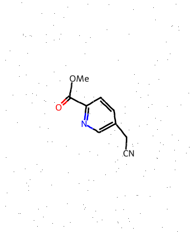 COC(=O)c1ccc(CC#N)cn1